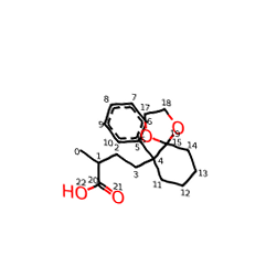 CC(CCC1(c2ccccc2)CCCCC12OCCO2)C(=O)O